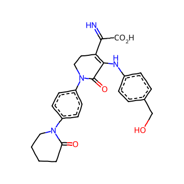 N=C(C(=O)O)C1=C(Nc2ccc(CO)cc2)C(=O)N(c2ccc(N3CCCCC3=O)cc2)CC1